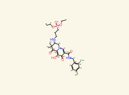 CCOP(=O)(CCCNC1Cn2cc(C(=O)NCc3ccc(F)cc3F)c(=O)c(O)c2C(=O)C1(C)C)OCC